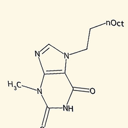 CCCCCCCCCCn1cnc2c1c(=O)[nH]c(=O)n2C